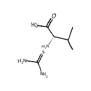 CC(C)[C@H](N)C(=O)O.NC(N)=S